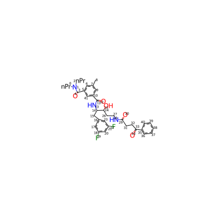 CCCN(CCC)C(=O)c1cc(C)cc(C(=O)NC(Cc2cc(F)cc(F)c2)C(O)CCNC(=O)CCC(=O)c2ccccc2)c1